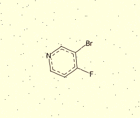 Fc1ccn[c]c1Br